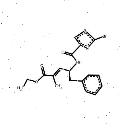 CCOC(=O)/C(C)=C/[C@H](Cc1ccccc1)NC(=O)c1csc(Br)n1